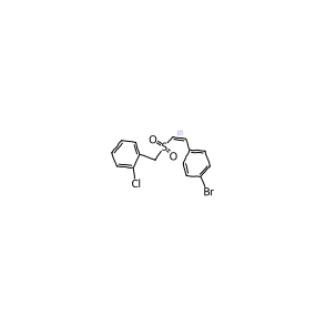 O=S(=O)(/C=C\c1ccc(Br)cc1)Cc1ccccc1Cl